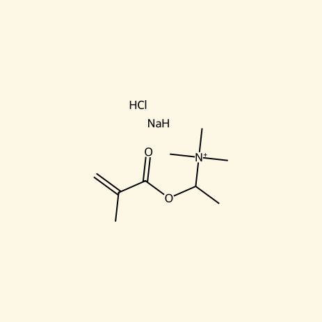 C=C(C)C(=O)OC(C)[N+](C)(C)C.Cl.[NaH]